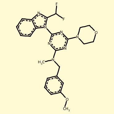 COc1cccc(CN(C)c2nc(N3CCOCC3)nc(-n3c(C(F)F)nc4ccccc43)n2)c1